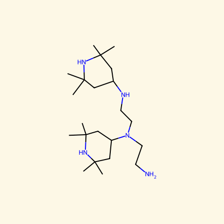 CC1(C)CC(NCCN(CCN)C2CC(C)(C)NC(C)(C)C2)CC(C)(C)N1